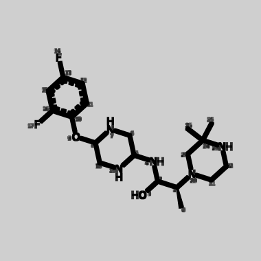 C[C@@H](C(O)NC1CNC(Oc2ccc(F)cc2F)CN1)N1CCNC(C)(C)C1